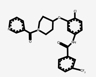 O=C(Nc1ccc(Cl)c(OC2CCN(C(=O)c3cccnc3)CC2)c1)c1cccc(C(F)(F)F)c1